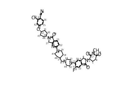 CN1C(=O)CCC(N2Cc3cc(N4CCN(CC5CCN(c6ccc7c(n6)CN([C@H]6CC[C@H](Oc8ccc(C#N)c(Cl)c8)CC6)C7=O)CC5)CC4)c(F)cc3C2=O)C1=O